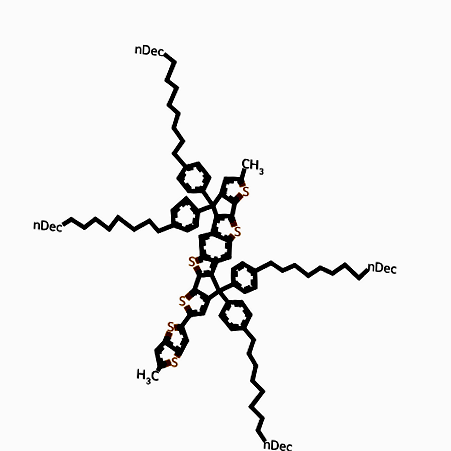 CCCCCCCCCCCCCCCCCCc1ccc(C2(c3ccc(CCCCCCCCCCCCCCCCCC)cc3)c3cc(C)sc3-c3sc4cc5c6c(sc5cc4c32)-c2sc(-c3cc4sc(C)cc4s3)cc2C6(c2ccc(CCCCCCCCCCCCCCCCCC)cc2)c2ccc(CCCCCCCCCCCCCCCCCC)cc2)cc1